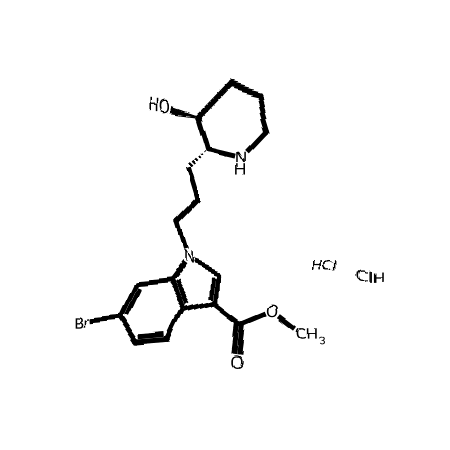 COC(=O)c1cn(CCC[C@H]2NCCC[C@@H]2O)c2cc(Br)ccc12.Cl.Cl